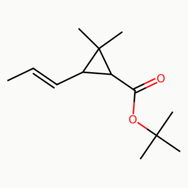 CC=CC1C(C(=O)OC(C)(C)C)C1(C)C